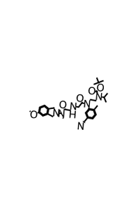 COc1ccc2c(c1)CN(N(C)C(=O)CNCC(=O)N(CCN(C(=O)OC(C)(C)C)C(C)C)c1cc(C#N)ccc1C)C2